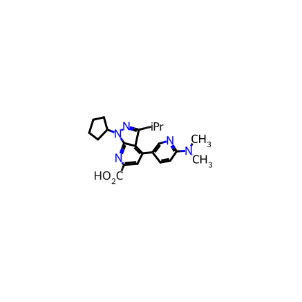 CC(C)c1nn(C2CCCC2)c2nc(C(=O)O)cc(-c3ccc(N(C)C)nc3)c12